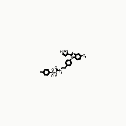 COc1ccc2c(c1)nc(-c1cc[nH]n1)n2-c1ccc(CCNC(=O)NS(=O)(=O)c2ccc(C)cc2)cc1